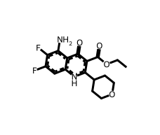 CCOC(=O)c1c(C2CCOCC2)[nH]c2cc(F)c(F)c(N)c2c1=O